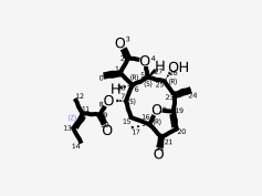 C=C1C(=O)O[C@H]2[C@H]1[C@@H](OC(=O)/C(C)=C\C)C[C@@]1(C)OC(=CC1=O)C(=C)[C@H]2O